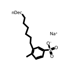 CCCCCCCCCCCCCCCCc1cc(S(=O)(=O)[O-])ccc1C.[Na+]